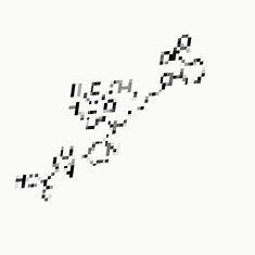 CC(C)(C)OC(=O)N(CCCCCOc1ccccc1[N+](=O)[O-])c1cc(-c2nc(C(=O)O)co2)ccn1